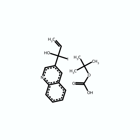 C=CC(O)(I)c1cnc2ccccc2c1.CC(C)(C)OC(=O)O